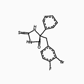 O=C1NC(=S)NC1(Cc1ccc(F)c(Br)c1)c1c[c]ccc1